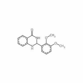 COc1cccc(C2NC(=O)c3ccccc3N2)c1OC